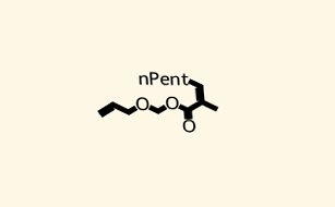 C=CCOCOC(=O)C(C)=CCCCCC